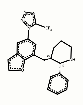 FC(F)(F)c1nnnn1-c1cc([CH][C@H]2CCCN[C@@H]2c2ccccc2)c2occc2c1